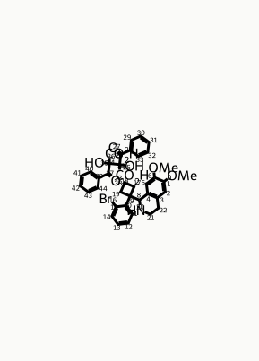 COc1cc2c(cc1OC)C(C1(c3ccccc3Br)CCC1)NCC2.O=C(O)C(O)(C(=O)c1ccccc1)C(O)(C(=O)O)C(=O)c1ccccc1